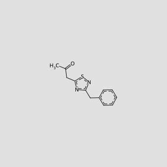 CC(=O)Cc1nc(Cc2ccccc2)ns1